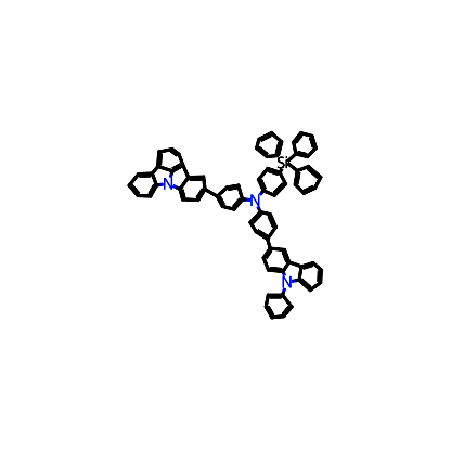 c1ccc(-n2c3ccccc3c3cc(-c4ccc(N(c5ccc(-c6ccc7c(c6)c6cccc8c9ccccc9n7c86)cc5)c5ccc([Si](c6ccccc6)(c6ccccc6)c6ccccc6)cc5)cc4)ccc32)cc1